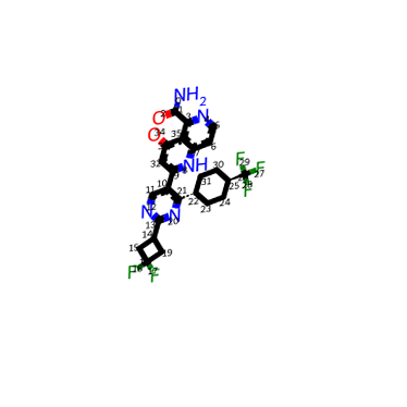 NC(=O)c1nccc2[nH]c(-c3cnc(C4CC(F)(F)C4)nc3[C@H]3CC[C@H](C(F)(F)F)CC3)cc(=O)c12